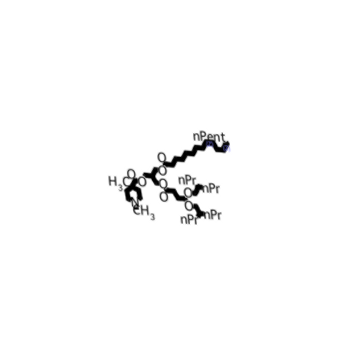 CCCCC/C=C\C/C=C\CCCCCCCC(=O)OCC(COC(=O)CCC(OCC(CCC)CCC)OCC(CCC)CCC)COC(=O)C1(C)CCN(C)CC1